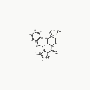 CCOC(=O)N1CCC(C(=O)c2ncc(C)n2CCc2ccccc2)CC1